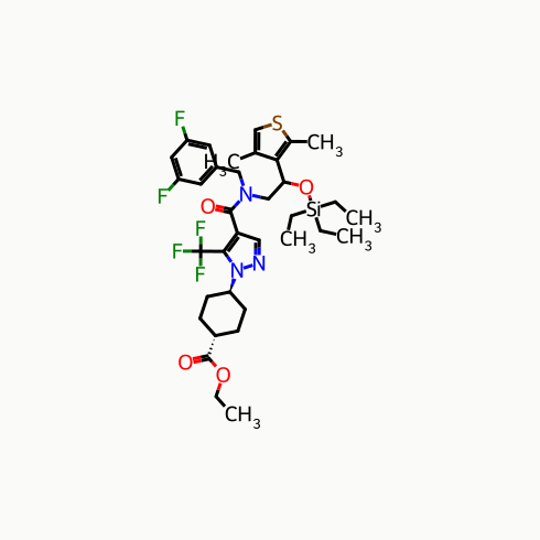 CCOC(=O)[C@H]1CC[C@H](n2ncc(C(=O)N(Cc3cc(F)cc(F)c3)CC(O[Si](CC)(CC)CC)c3c(C)csc3C)c2C(F)(F)F)CC1